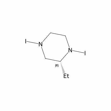 CC[C@@H]1CN(I)CCN1I